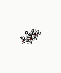 COC(=O)O[C@H]1C[C@H]2OC[C@@]2(OC(C)=O)[C@H]2[C@H](OC(=O)c3ccccc3)[C@]3(O)C[C@H](OC(=O)[C@H](O)[C@H](CC(C)C)NC(=O)OC(C)(C)C)C(C)=C([C@@H](OC)C(=O)[C@]12C)C3(C)C